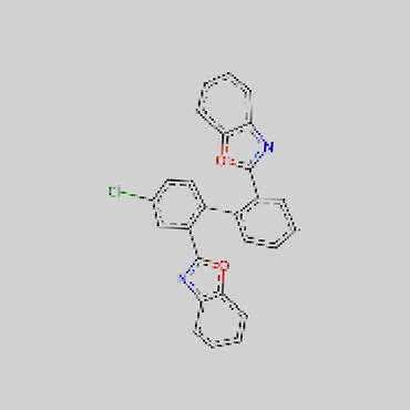 Clc1ccc(-c2cc[c]cc2-c2nc3ccccc3o2)c(-c2nc3ccccc3o2)c1